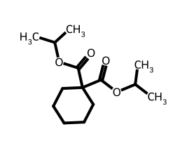 CC(C)OC(=O)C1(C(=O)OC(C)C)CCCCC1